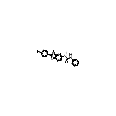 Cn1c(-c2ccc(F)cc2)nc2ccc(NC(=O)Nc3ccccc3)nc21